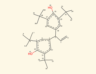 C=CC(c1cc(C(C)(C)C)c(O)c(C(C)(C)C)c1)c1cc(C(C)(C)C)c(O)c(C(C)(C)C)c1